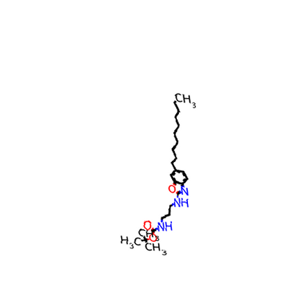 CCCCCCCCCCc1ccc2nc(NCCCNC(=O)OC(C)(C)C)oc2c1